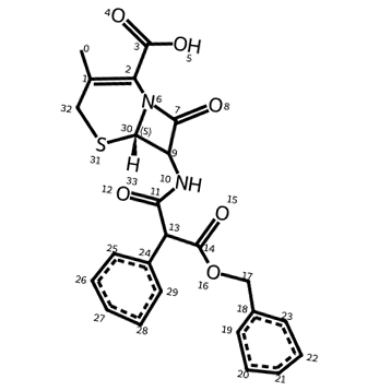 CC1=C(C(=O)O)N2C(=O)C(NC(=O)C(C(=O)OCc3ccccc3)c3ccccc3)[C@@H]2SC1